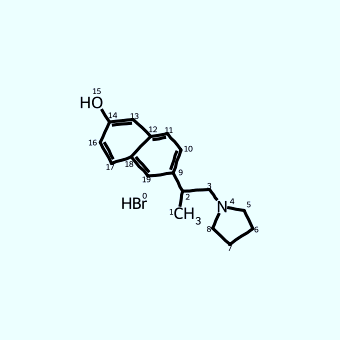 Br.CC(CN1CCCC1)c1ccc2cc(O)ccc2c1